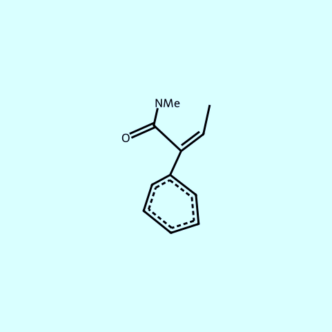 CC=C(C(=O)NC)c1ccccc1